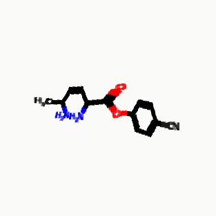 CC(N)/C=C\C(N)C(=O)Oc1ccc(C#N)cc1